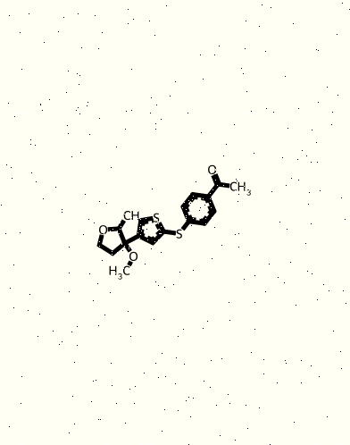 COC1(c2csc(Sc3ccc(C(C)=O)cc3)c2)CCOC1C